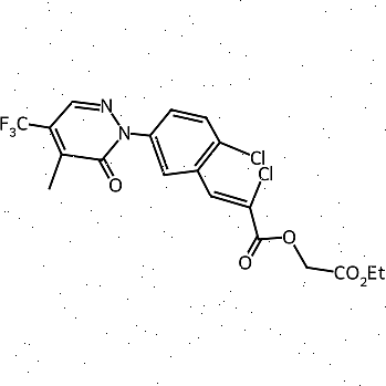 CCOC(=O)COC(=O)/C(Cl)=C/c1cc(-n2ncc(C(F)(F)F)c(C)c2=O)ccc1Cl